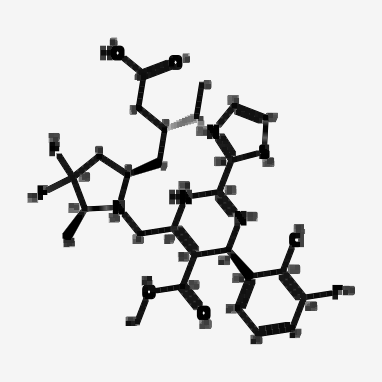 CC[C@@H](CC(=O)O)C[C@@H]1CC(F)(F)[C@H](C)N1CC1=C(C(=O)OC)[C@H](c2cccc(F)c2Cl)N=C(c2nccs2)N1